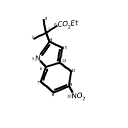 CCOC(=O)C(C)(C)C1=NC2=CC=C([N+](=O)[O-])CC2=C1